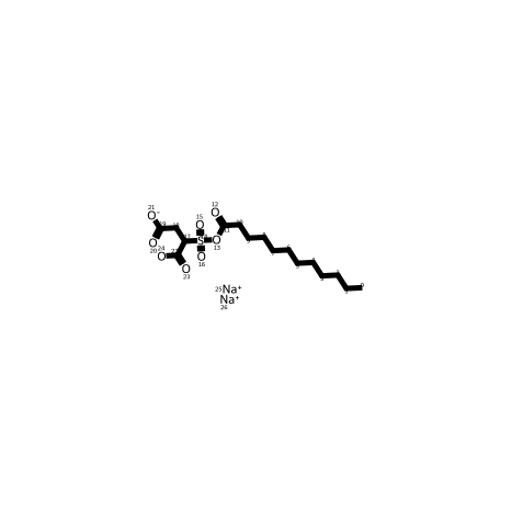 CCCCCCCCCCCC(=O)OS(=O)(=O)C(CC(=O)[O-])C(=O)[O-].[Na+].[Na+]